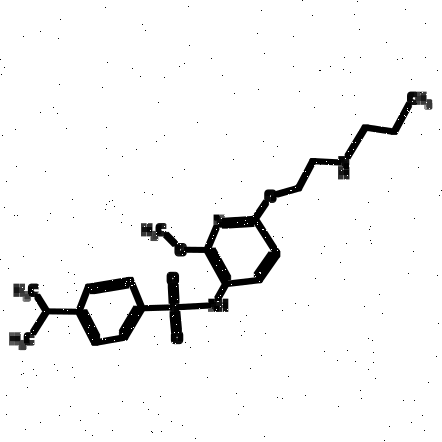 CCCNCCOc1ccc(NS(=O)(=O)c2ccc(C(C)C)cc2)c(OC)n1